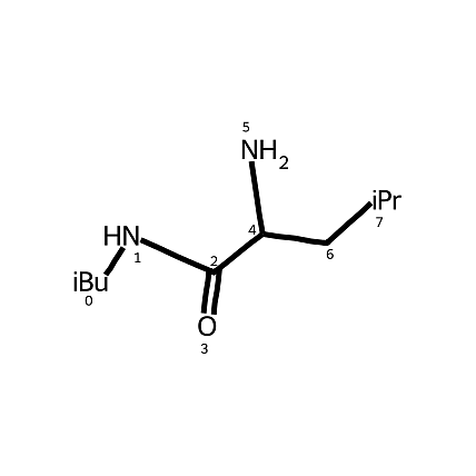 CCC(C)NC(=O)C(N)CC(C)C